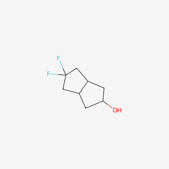 OC1CC2CC(F)(F)CC2C1